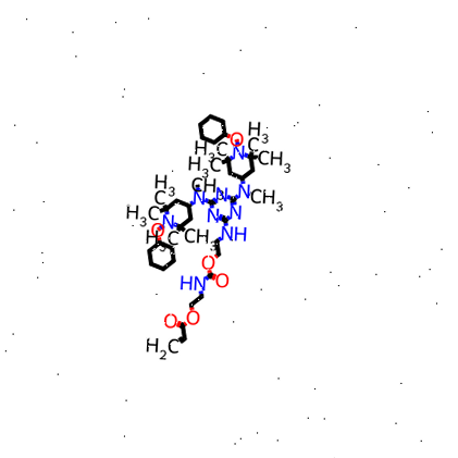 C=CC(=O)OCCNC(=O)OCCNc1nc(N(C)C2CC(C)(C)N(OC3CCCCC3)C(C)(C)C2)nc(N(C)C2CC(C)(C)N(OC3CCCCC3)C(C)(C)C2)n1